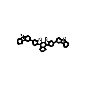 Cn1c2ccccc2c2cc(-c3ccc4c5c6ccccc6c6c7ccc(-c8ccc9c(c8)c8ccccc8n9C)cc7n(C)c6c5n(C)c4c3)ccc21